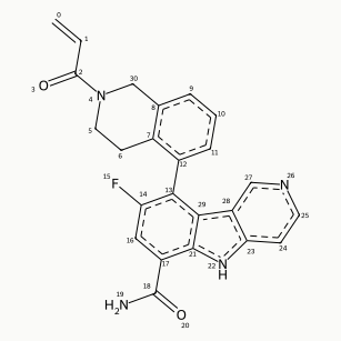 C=CC(=O)N1CCc2c(cccc2-c2c(F)cc(C(N)=O)c3[nH]c4ccncc4c23)C1